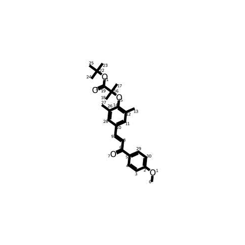 COc1ccc(C(=O)/C=C/c2cc(C)c(OC(C)(C)C(=O)OC(C)(C)C)c(C)c2)cc1